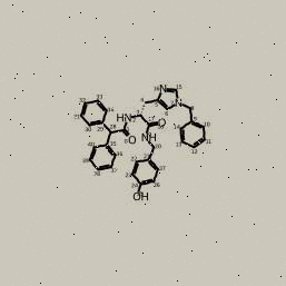 O=C(N[C@H](Cc1cn(Cc2ccccc2)cn1)C(=O)NCc1ccc(O)cc1)C(c1ccccc1)c1ccccc1